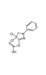 O=C(O)OC1=NN(c2ccccc2)CC1(Cl)Cl